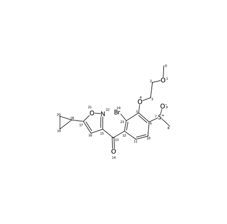 COCCOc1c([S+](C)[O-])ccc(C(=O)c2cc(C3CC3)on2)c1Br